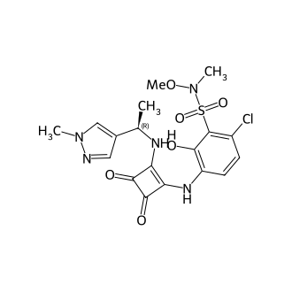 CON(C)S(=O)(=O)c1c(Cl)ccc(Nc2c(N[C@H](C)c3cnn(C)c3)c(=O)c2=O)c1O